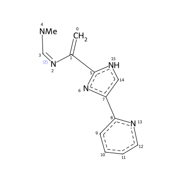 C=C(/N=C\NC)c1nc(-c2ccccn2)c[nH]1